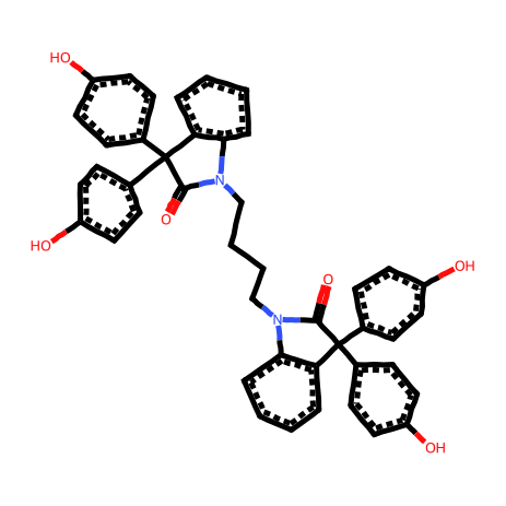 O=C1N(CCCCN2C(=O)C(c3ccc(O)cc3)(c3ccc(O)cc3)c3ccccc32)c2ccccc2C1(c1ccc(O)cc1)c1ccc(O)cc1